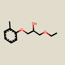 CCOCC(O)COc1ccccc1C